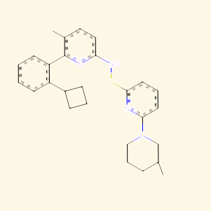 C[C@@]1(C(=O)O)CCCN(c2cccc(SNc3ccc(C(F)(F)F)c(-c4ccccc4C4CCC4)n3)n2)C1